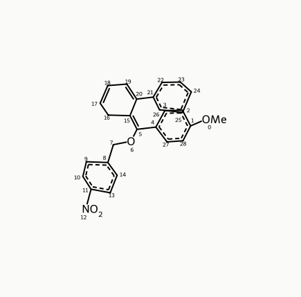 COc1ccc(C(OCc2ccc([N+](=O)[O-])cc2)=C2CC=CC=C2c2ccccc2)cc1